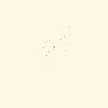 Cc1cc2ccccn2c1-c1ccc(=O)n(CCN2CCOCC2)n1